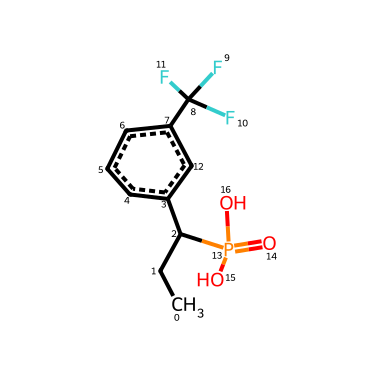 CCC(c1cccc(C(F)(F)F)c1)P(=O)(O)O